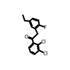 CCc1ccc(F)c(CC(=O)c2cccc(Cl)c2Cl)c1